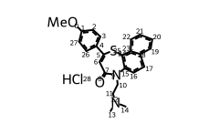 COc1ccc(C2=CC(=O)N(CCN(C)C)c3ccc4ccccc4c3S2)cc1.Cl